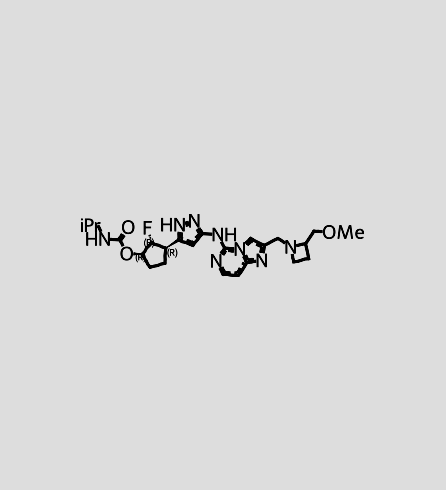 COCC1CCN1Cc1cn2c(Nc3cc([C@H]4CC[C@@H](OC(=O)NC(C)C)[C@@H]4F)[nH]n3)nccc2n1